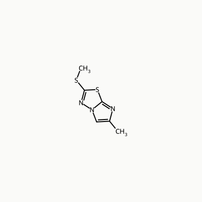 CSc1nn2cc(C)nc2s1